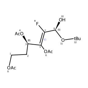 CC(=O)OCC[C@@H](OC(C)=O)/C(OC(C)=O)=C(\F)[C@@H](O)OC(C)(C)C